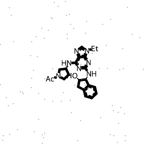 CCn1cnc2c(N[C@H]3CCN(C(C)=O)C3)nc(N[C@@H]3c4ccccc4C[C@@H]3O)nc21